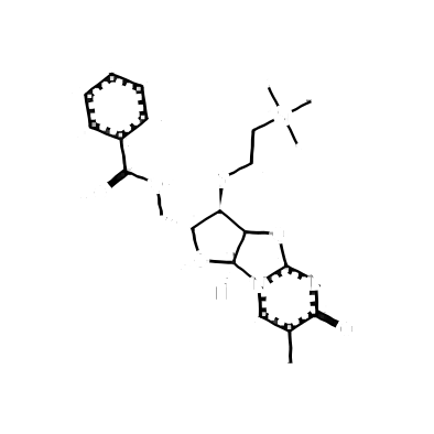 Cc1cn2c(nc1=O)OC1[C@H](SCC[Si](C)(C)C)[C@@H](COC(=O)c3ccccc3)O[C@@H]12